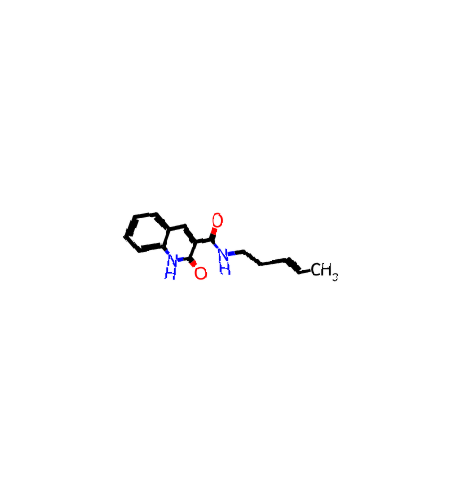 C/C=C/CCNC(=O)c1cc2ccccc2[nH]c1=O